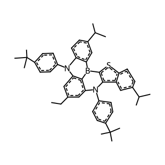 CCc1cc2c3c(c1)N(c1ccc(C(C)(C)C)cc1)c1c(sc4ccc(C(C)C)cc14)B3c1cc(C(C)C)ccc1N2c1ccc(C(C)(C)C)cc1